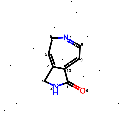 O=C1NCC2=CCN=CC=C12